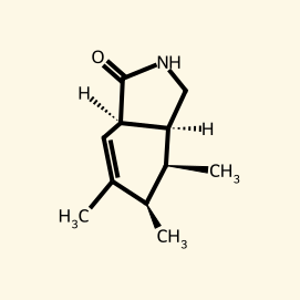 CC1=C[C@H]2C(=O)NC[C@H]2[C@@H](C)[C@H]1C